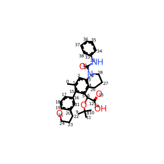 Cc1cc2c(c(C(OC(C)(C)C)C(=O)O)c1-c1ccc3c(c1)CCCO3)CCCN2C(=O)Nc1ccccc1